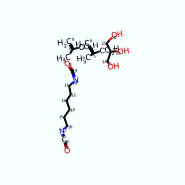 C=C(C)C(=O)O.C=C(C)C(=O)O.O=C=NCCCCCCN=C=O.OCC(O)CO